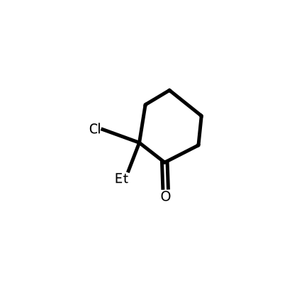 CCC1(Cl)CCCCC1=O